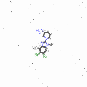 CC(C)n1c(N2CCC[C@@H](N)C2)nc2c(C#N)c(Br)c(Br)cc21